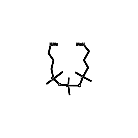 CNCCC[Si](C)(C)O[Si](C)(C)O[Si](C)(C)CCCNC